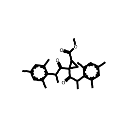 COC(=O)C1CC1(C(=O)C(C)c1c(C)cc(C)cc1C)C(=O)C(C)c1c(C)cc(C)cc1C